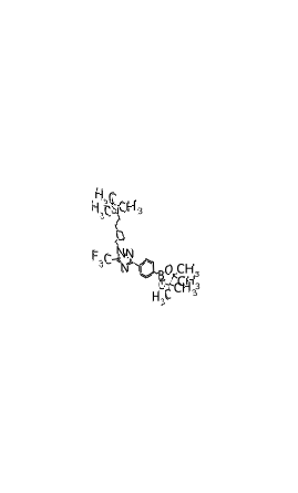 CC1(C)OB(c2ccc(-c3nc(C(F)(F)F)n(COCC[Si](C)(C)C)n3)cc2)OC1(C)C